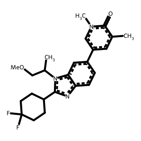 COCC(C)n1c(C2CCC(F)(F)CC2)nc2ccc(-c3cc(C)c(=O)n(C)c3)cc21